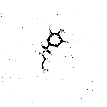 Nc1c(Cl)cc(S(=O)(=O)NCCS(=O)(=O)O)cc1Cl